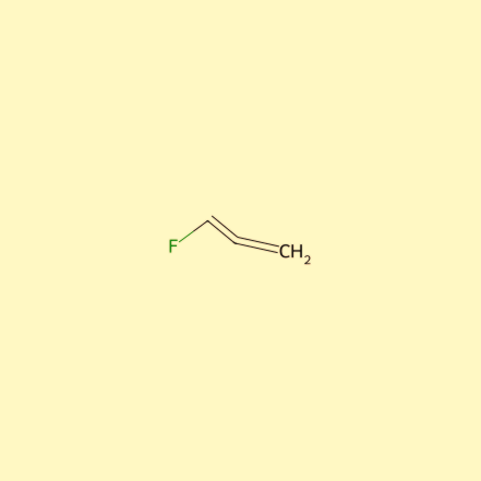 C=C=CF